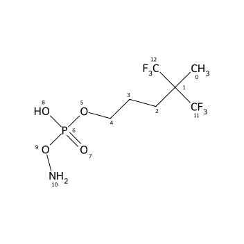 CC(CCCOP(=O)(O)ON)(C(F)(F)F)C(F)(F)F